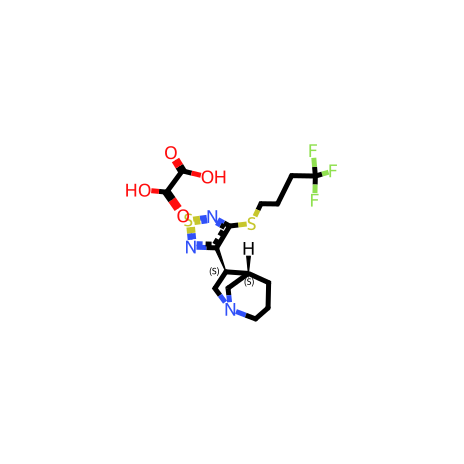 FC(F)(F)CCCSc1nsnc1[C@@H]1CN2CCC[C@@H]1C2.O=C(O)C(=O)O